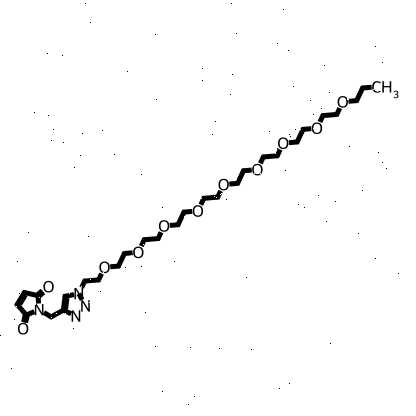 CCCOCCOCCOCCOCCOCCOCCOCCOCCOCCn1cc(CN2C(=O)C=CC2=O)nn1